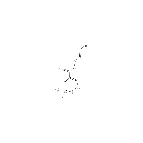 C/C=C/CCC(=O)C1=CC=CC(C)(C)C1